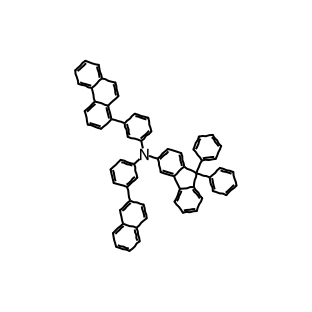 c1ccc(C2(c3ccccc3)c3ccccc3-c3cc(N(c4cccc(-c5ccc6ccccc6c5)c4)c4cccc(-c5cccc6c5ccc5ccccc56)c4)ccc32)cc1